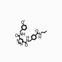 CCCNC(=O)c1ccc(CNC(=O)c2cc(C(=O)NCc3cccc(OC)c3)ncn2)cc1